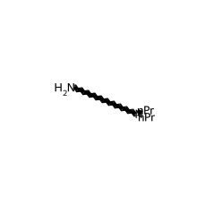 CCCN(CCC)CCCCCCCCCCCCCCCCCCCCN